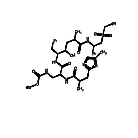 Cc1csc(CC(C)C(=O)NC(CNC(=O)OC(C)(C)C)C(=O)NC(CC(C)C)C(O)CC(C)C(=O)NC(CS(=O)(=O)CC(C)C)C(C)C)n1